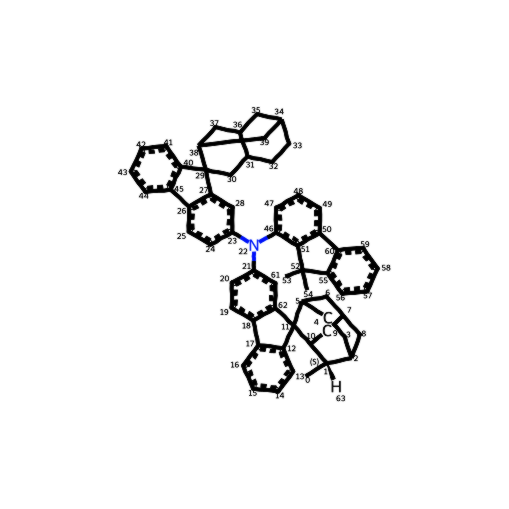 C[C@H]1C2CCC3CC(C2)CC1C31c2ccccc2-c2ccc(N(c3ccc4c(c3)C3(CC5CCC6CC5CC3C6)c3ccccc3-4)c3cccc4c3C(C)(C)c3ccccc3-4)cc21